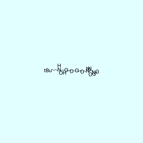 CC(C)(C)CCCCNC(O)CCOCCOCCOCCOCCn1cc(CN2C(=O)C=CC2=O)nn1